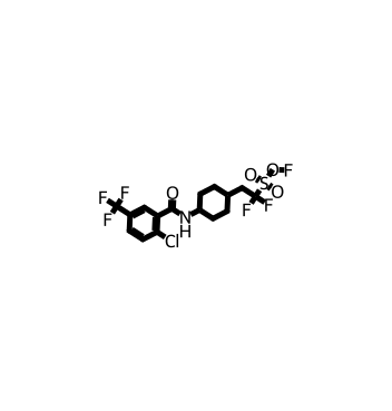 O=C(NC1CCC(CC(F)(F)S(=O)(=O)OF)CC1)c1cc(C(F)(F)F)ccc1Cl